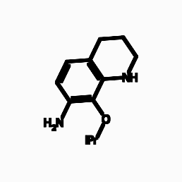 CC(C)Oc1c(N)ccc2c1NCCC2